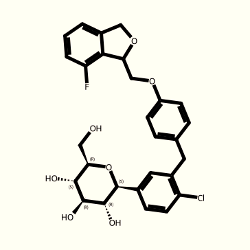 OC[C@H]1O[C@@H](c2ccc(Cl)c(Cc3ccc(OCC4OCc5cccc(F)c54)cc3)c2)[C@H](O)[C@@H](O)[C@@H]1O